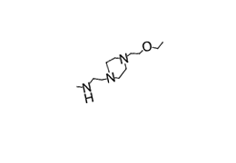 CCOCCN1CCN(CCNC)CC1